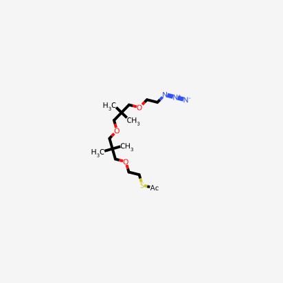 CC(=O)SCCOCC(C)(C)COCC(C)(C)COCCN=[N+]=[N-]